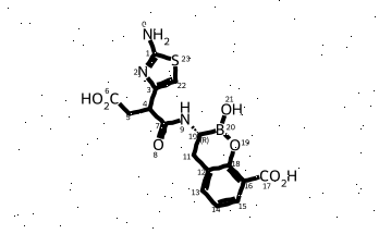 Nc1nc(C(CC(=O)O)C(=O)N[C@H]2Cc3cccc(C(=O)O)c3OB2O)cs1